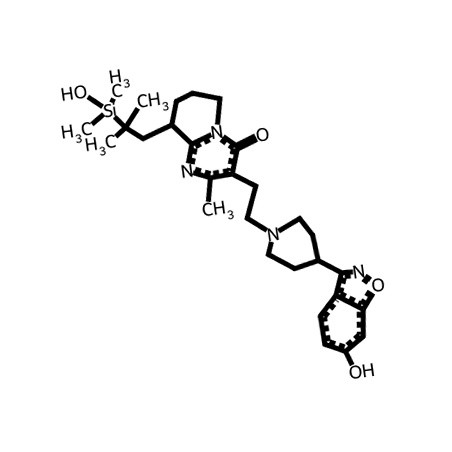 Cc1nc2n(c(=O)c1CCN1CCC(c3noc4cc(O)ccc34)CC1)CCCC2CC(C)(C)[Si](C)(C)O